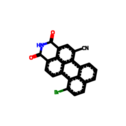 N#Cc1cc2c3c(ccc4c5c(Br)ccc6cccc(c1c34)c65)C(=O)NC2=O